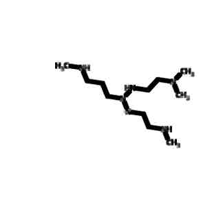 CNCCCN([N]CCNC)NCCN(C)C